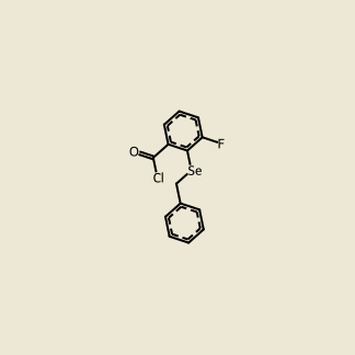 O=C(Cl)c1cccc(F)c1[Se]Cc1ccccc1